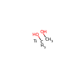 CO.CO.[Ti]